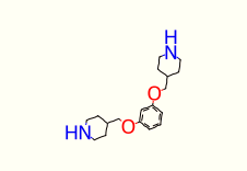 c1cc(OCC2CCNCC2)cc(OCC2CCNCC2)c1